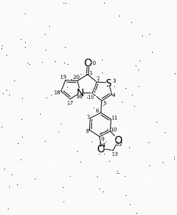 O=C1c2scc(-c3ccc4c(c3)OCO4)c2-n2cccc21